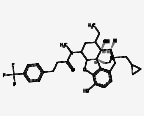 CCC1CC(N(C)C(=O)CCc2ccc(C(F)(F)F)cc2)C2Oc3c(O)ccc4c3[C@@]23CCN(CC2CC2)[C@H](C4)[C@]13O